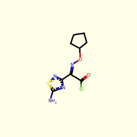 Nc1nc(C(=NOC2CCCC2)C(=O)Cl)ns1